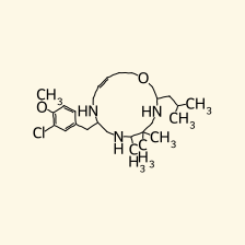 COc1ccc(CC2CNC(C)C(C)(C)CNC(CC(C)C)COCCC=CCN2)cc1Cl